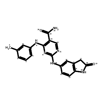 Cc1cccc(Nc2nc(Nc3ccc4c(c3)CC(=O)N4)ncc2C(N)=O)c1